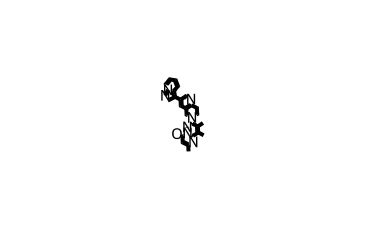 Cc1cc(=O)n2nc(N3CCc4ncc(-c5cnn6ccccc56)cc4C3)c(C)c(C)c2n1